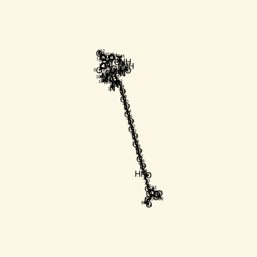 COc1ccc(C(OC[C@H]2O[C@@H](n3cnc4c(=O)[nH]c(NC(=O)C(C)C)nc43)[C@H](OCc3cn(CCOCCOCCOCCOCCOCCOCCOCCOCCOCCOCCOCCNC(=O)CCCCOC4OC(COC(C)=O)C(OC(C)=O)C(C)C4C)nn3)[C@@H]2OP(OCCC#N)N(C(C)C)C(C)C)(c2ccccc2)c2ccc(OC)cc2)cc1